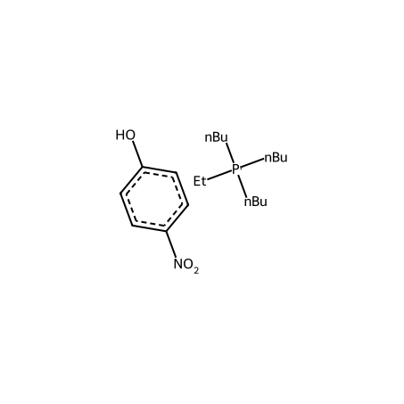 CCCC[P](CC)(CCCC)CCCC.O=[N+]([O-])c1ccc(O)cc1